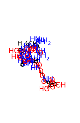 CC(C)C[C@H](NC(=O)[C@@H](CCCN(N)/C1=C(\N)CCC2[C@@H](COC(=O)NCCOCCOCCNC(=O)c3ccc4c(c3)C(=O)OC43c4ccc(O)cc4Oc4cc(O)ccc43)[C@H]2CC1)NC(=O)[C@H](Cc1ccc(O)cc1)NC(=O)[C@H](CO)NC(=O)[C@H](Cc1c[nH]c2ccccc12)NC(=O)[C@H](Cc1c[nH]cn1)NC=O)C(=O)N[C@@H](CCCNC(=N)N)C(=O)N1CCC[C@H]1C(=O)NCC(N)=O